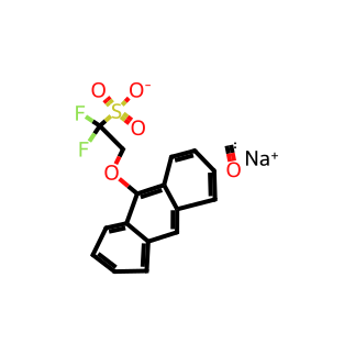 O=S(=O)([O-])C(F)(F)COc1c2ccccc2cc2ccccc12.[C]=O.[Na+]